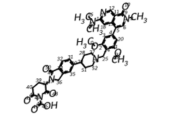 COc1cc(-c2cn(C)c(=O)c3cnc(N(C)C)cc23)cc(OC)c1CN1CCC(c2ccc3c(c2)CN(C2CCC(=O)N(C(=O)O)C2=O)C3=O)CC1